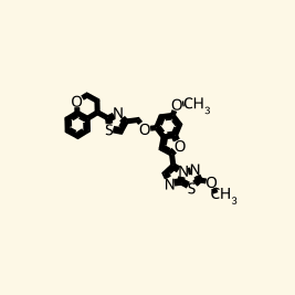 COc1cc(OCc2csc(C3CCOc4ccccc43)n2)c2cc(-c3cnc4sc(OC)nn34)oc2c1